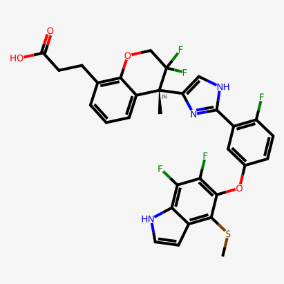 CSc1c(Oc2ccc(F)c(-c3nc([C@]4(C)c5cccc(CCC(=O)O)c5OCC4(F)F)c[nH]3)c2)c(F)c(F)c2[nH]ccc12